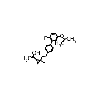 C=C(O)C1CC1(F)CCc1ccc(-c2cc(OC(C)C)ccc2F)cc1